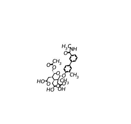 CNC(=O)c1cccc(-c2ccc(O[C@H]3O[C@@H](COC(C)=O)[C@H](CC(=O)O)[C@H](CC(=O)O)[C@]3(C)CC(=O)O)c(C)c2)c1